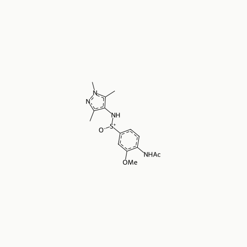 COc1cc([S+]([O-])Nc2c(C)nn(C)c2C)ccc1NC(C)=O